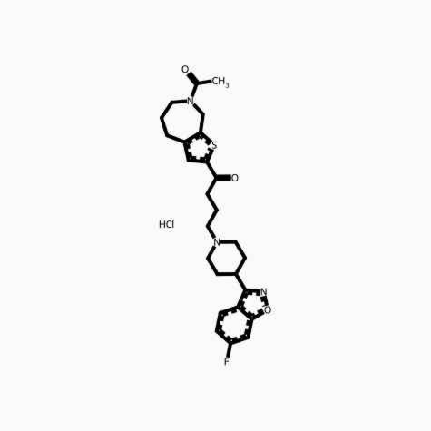 CC(=O)N1CCCc2cc(C(=O)CCCN3CCC(c4noc5cc(F)ccc45)CC3)sc2C1.Cl